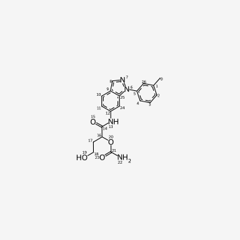 Cc1cccc(-n2ncc3ccc(NC(=O)C(CCO)OC(N)=O)cc32)c1